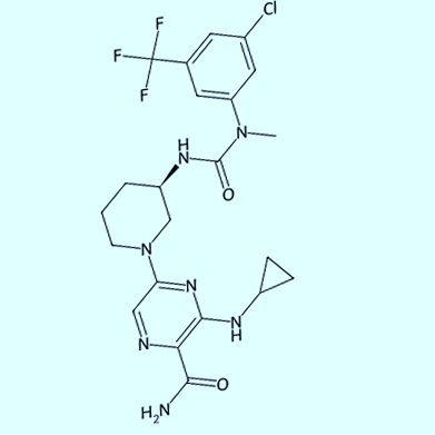 CN(C(=O)N[C@@H]1CCCN(c2cnc(C(N)=O)c(NC3CC3)n2)C1)c1cc(Cl)cc(C(F)(F)F)c1